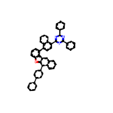 c1ccc(-c2ccc(-c3c4ccccc4cc4c3oc3cccc(-c5ccc(-c6nc(-c7ccccc7)nc(-c7ccccc7)n6)c6ccccc56)c34)cc2)cc1